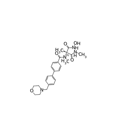 CNC(=O)[C@@](C)(C(=O)NO)N(C)C(=O)c1ccc(-c2ccc(CN3CCOCC3)cc2)cc1